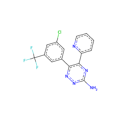 Nc1nnc(-c2cc(Cl)cc(C(F)(F)F)c2)c(-c2ccccn2)n1